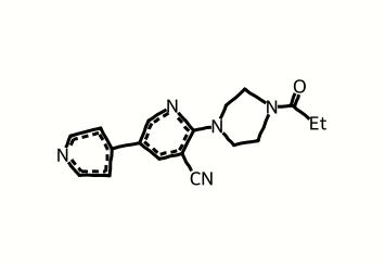 CCC(=O)N1CCN(c2ncc(-c3ccncc3)cc2C#N)CC1